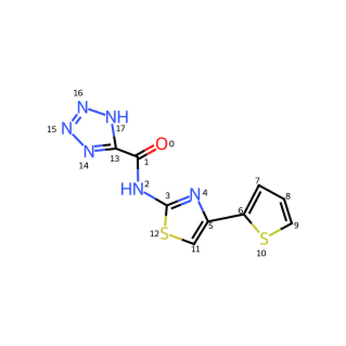 O=C(Nc1nc(-c2cccs2)cs1)c1nnn[nH]1